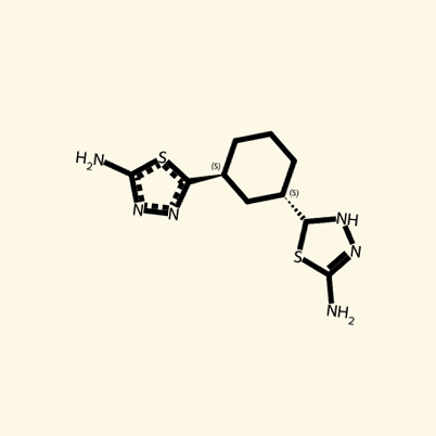 NC1=NNC([C@H]2CCC[C@H](c3nnc(N)s3)C2)S1